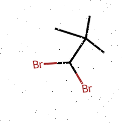 CC(C)(C)C(Br)Br